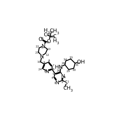 CSc1ncc(-c2ccc(CN3CCN(C(=O)OC(C)(C)C)CC3)cn2)c(NC2CCC(O)CC2)n1